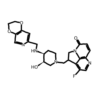 O=c1ccc2ncc(F)c3c2n1CC3CN1CC[C@H](NCc2cc3c(cn2)OCCO3)[C@H](O)C1